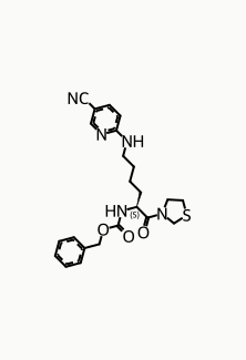 N#Cc1ccc(NCCCC[C@H](NC(=O)OCc2ccccc2)C(=O)N2CCSC2)nc1